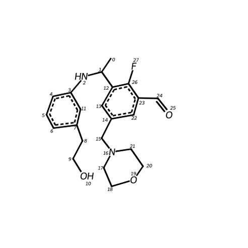 C[C](Nc1cccc(CCO)c1)c1cc(CN2CCOCC2)cc(C=O)c1F